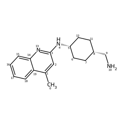 Cc1cc(N[C@H]2CC[C@@H](CN)CC2)nc2ccccc12